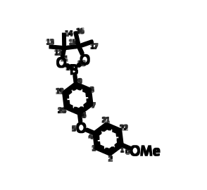 COc1ccc(Oc2ccc(B3OC(C)(C)C(C)(C)O3)cc2)cc1